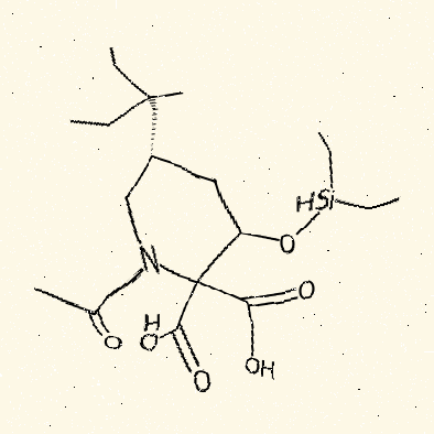 CC(=O)N1C[C@H](C(C)(C)C)CC(O[SiH](C)C)C1(C(=O)O)C(=O)O